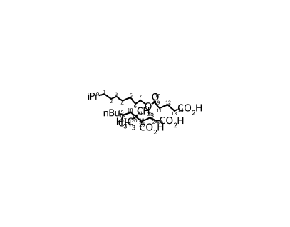 CC(C)CCCCCCCOC(=O)CCCC(=O)O.CCCCC(C)CC(C)(C)C(CCC(=O)O)C(=O)O